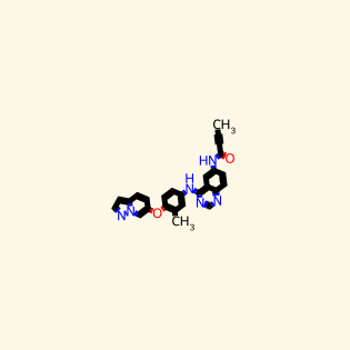 CC#CC(=O)Nc1ccc2ncnc(Nc3ccc(Oc4ccc5ccnn5c4)c(C)c3)c2c1